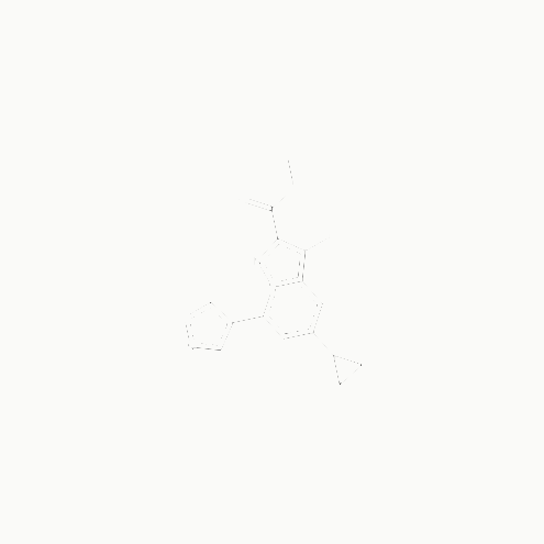 COC(=O)c1nn2c(-c3cnsc3)cc(C3CC3)cc2c1Cl